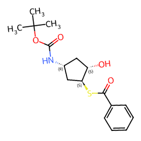 CC(C)(C)OC(=O)N[C@H]1C[C@H](SC(=O)c2ccccc2)[C@@H](O)C1